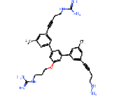 N=C(N)NCCC#Cc1cc(-c2cc(OCCCNC(=N)N)cc(-c3cc(C#CCCNN)cc(C(F)(F)F)c3)c2)cc(C(F)(F)F)c1